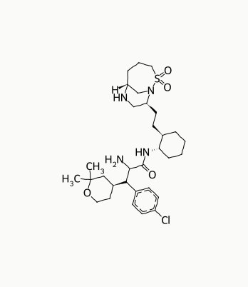 CC1(C)C[C@@H](C(c2ccc(Cl)cc2)C(N)C(=O)N[C@H]2CCCC[C@@H]2CC[C@H]2CN[C@@H]3CCCS(=O)(=O)N2C3)CCO1